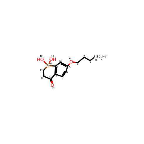 CCOC(=O)CCCOc1ccc2c(c1)S(O)(O)CCC2=O